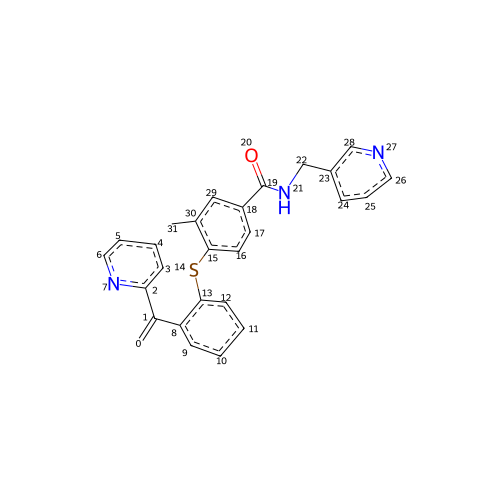 C=C(c1ccccn1)c1ccccc1Sc1ccc(C(=O)NCc2cccnc2)cc1C